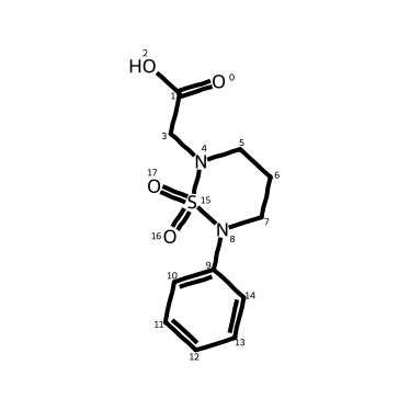 O=C(O)CN1CCCN(c2ccccc2)S1(=O)=O